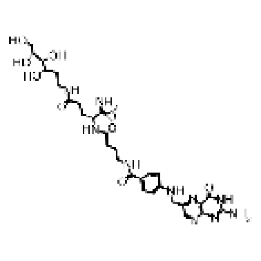 NC(=O)[C@H](CCC(=O)NCC[C@@H](O)[C@H](O)[C@H](O)CO)NC(=O)CCCNC(=O)c1ccc(NCc2cnc3nc(N)[nH]c(=O)c3n2)cc1